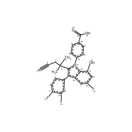 CC(C)(CC#N)c1c(-c2ccc(F)c(F)c2)c2cc(F)cc(O)c2n1-c1ccc(C(=O)O)cc1